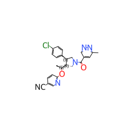 Cc1cc(C(=O)N2C[C@H]([C@H](C)Oc3ccc(C#N)cn3)[C@@H](c3ccc(Cl)cc3)C2)cnn1